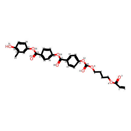 C=CC(=O)OCCCCOC(=O)Oc1ccc(C(=O)Oc2ccc(C(=O)Oc3ccc(O)c(C)c3)cc2)cc1